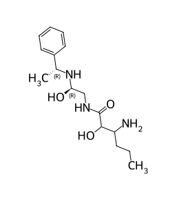 CCCC(N)C(O)C(=O)NC[C@@H](O)N[C@H](C)c1ccccc1